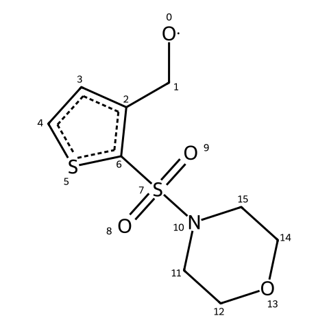 [O]Cc1ccsc1S(=O)(=O)N1CCOCC1